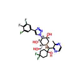 Cc1nccnc1C([SH]1C[C@H](O)[C@H](n2cc(-c3cc(F)c(F)c(F)c3)nn2)[C@@H](O)[C@H]1CO)C1(O)CCC(F)(F)CC1